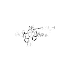 COc1cccc([C@H]2O[C@H](Cc3nsc(SCCCC(=O)O)n3)C(=O)N(CC(C)(C)C)c3ccc(Cl)cc32)c1OC